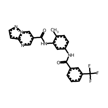 Cc1ccc(NC(=O)c2cccc(C(F)(F)F)c2)cc1NC(=O)c1cnc2ccnn2c1